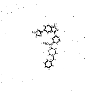 O=CN(c1cccc(-c2n[nH]c3ccc(-c4nc[nH]n4)cc23)c1)C1CCN(Cc2ccccc2)CC1